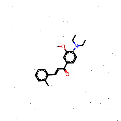 CCN(CC)c1ccc(C(=O)C=Cc2ccccc2C)cc1OC